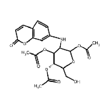 CC(=O)OC1OC(CO)[C@H](OC(C)=O)C(OC(C)=O)C1Nc1ccc2ccc(=O)oc2c1